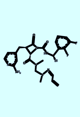 C=C/C=N\N(C)CN(C)C(=O)[C@@H]1[C@@H](Cc2ccnc(N)c2)C(=O)N1C(=O)N[C@H](CC)c1cccc(F)c1F